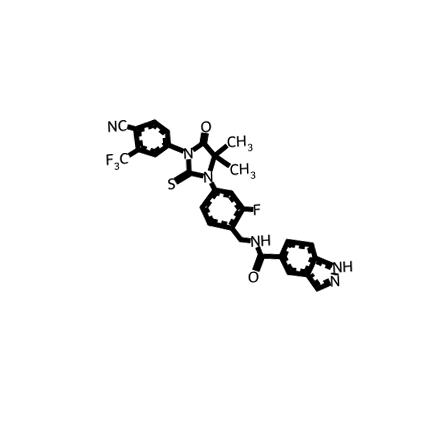 CC1(C)C(=O)N(c2ccc(C#N)c(C(F)(F)F)c2)C(=S)N1c1ccc(CNC(=O)c2ccc3[nH]ncc3c2)c(F)c1